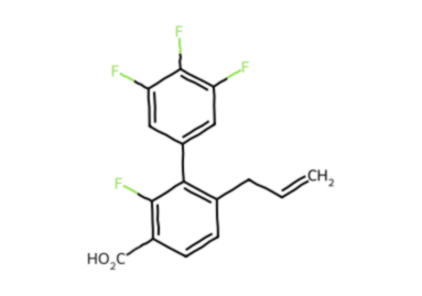 C=CCc1ccc(C(=O)O)c(F)c1-c1cc(F)c(F)c(F)c1